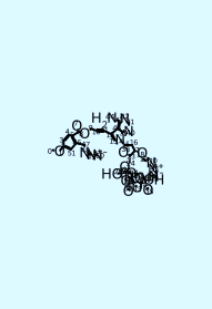 COc1ccc(C(=O)OCC#Cc2cn([C@H]3C[C@@H](OCN=[N+]=[N-])[C@@H](COP(=O)(O)OP(=O)(O)OP(=O)(O)O)O3)c3ncnc(N)c23)c(CN=[N+]=[N-])c1